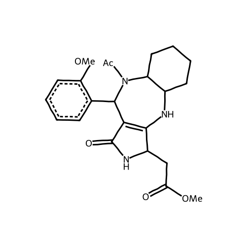 COC(=O)CC1NC(=O)C2=C1NC1CCCCC1N(C(C)=O)C2c1ccccc1OC